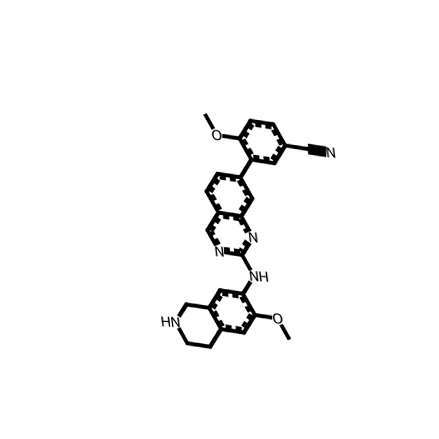 COc1cc2c(cc1Nc1ncc3ccc(-c4cc(C#N)ccc4OC)cc3n1)CNCC2